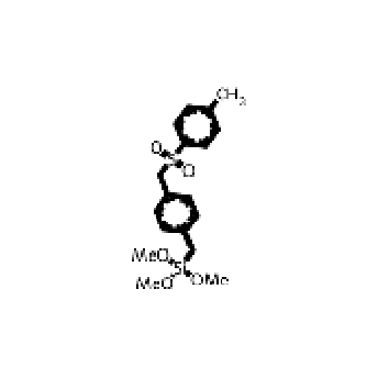 CO[Si](Cc1ccc(CS(=O)(=O)c2ccc(C)cc2)cc1)(OC)OC